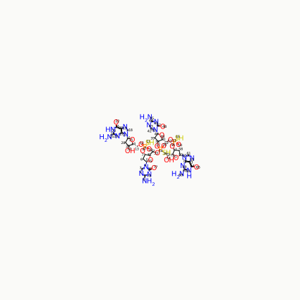 Nc1ncn([C@H]2CC(OP(=O)(S)OC[C@H]3O[C@@H](n4cnc5c(=O)[nH]c(N)nc54)CC3O)[C@@H](COP(=O)(S)OC3C[C@H](n4cnc(N)nc4=O)O[C@@H]3COP(=O)(S)OC3C[C@H](n4cnc5c(=O)[nH]c(N)nc54)O[C@@H]3CO)O2)c(=O)n1